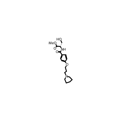 COC(=O)[C@H](CO)NC(=O)c1ccc(OCCCN2CCCCC2)cc1